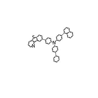 c1ccc(-c2ccc(N(c3ccc(-c4ccc5sc6cccnc6c5c4)cc3)c3ccc(-c4cccc5ccccc45)cc3)cc2)cc1